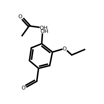 CC(=O)O.CCOc1cc(C=O)ccc1O